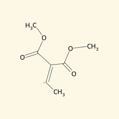 C[C]=C(C(=O)OC)C(=O)OC